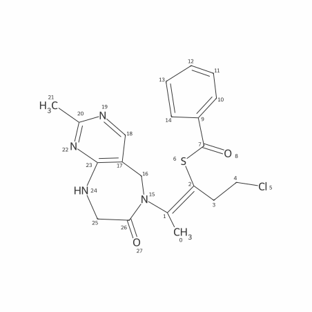 C/C(=C(\CCCl)SC(=O)c1ccccc1)N1Cc2cnc(C)nc2NCC1=O